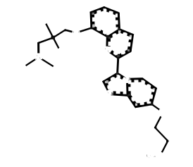 COCCOc1ccn2c(-c3ccc4cccc(OCC(C)(C)CN(C)C)c4n3)cnc2c1